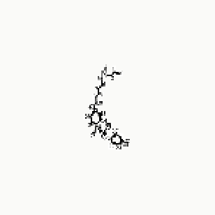 C=CCN(C)CCCCCCOc1ccc(N(C)C(=O)Oc2ccc(F)cc2)cc1